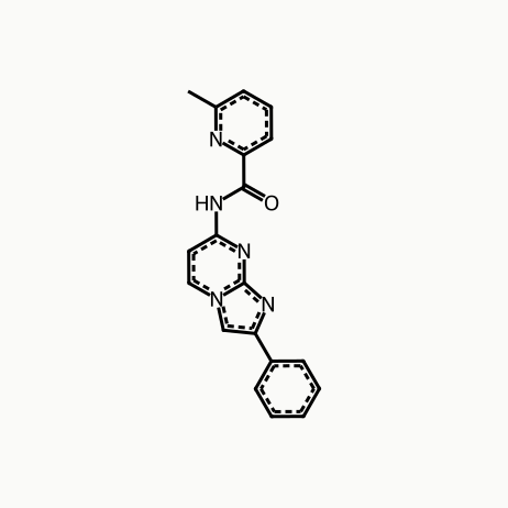 Cc1cccc(C(=O)Nc2ccn3cc(-c4ccccc4)nc3n2)n1